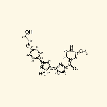 C[C@H]1CN(C(=O)c2coc(-c3cnn(-c4ccc(OCCO)cc4)c3)n2)CCN1.Cl